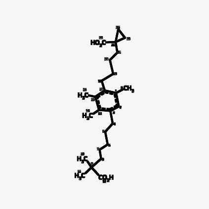 Cc1cc(CCCCCC(C)(C)C(=O)O)c(C)c(C)c1CCCCC1(C(=O)O)CC1